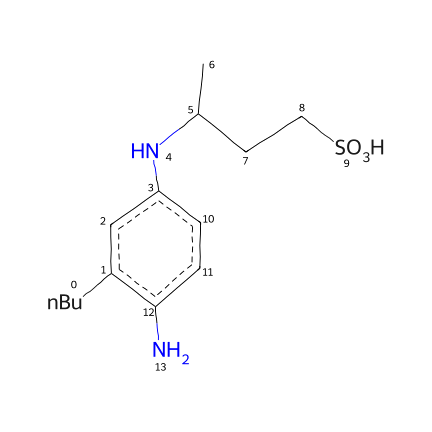 CCCCc1cc(NC(C)CCS(=O)(=O)O)ccc1N